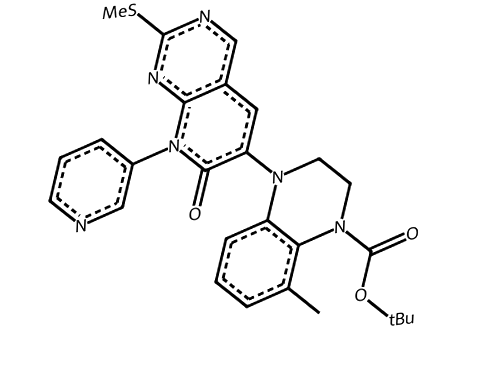 CSc1ncc2cc(N3CCN(C(=O)OC(C)(C)C)c4c(C)cccc43)c(=O)n(-c3cccnc3)c2n1